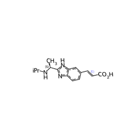 CC(C)N[C@@H](C)c1nc2ccc(/C=C/C(=O)O)cc2[nH]1